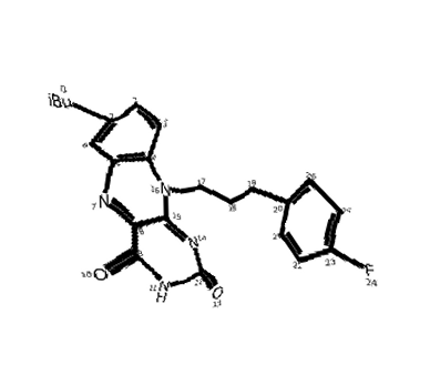 CCC(C)c1ccc2c(c1)nc1c(=O)[nH]c(=O)nc-1n2CCCc1ccc(F)cc1